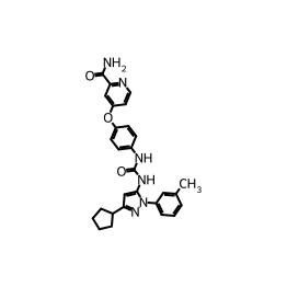 Cc1cccc(-n2nc(C3CCCC3)cc2NC(=O)Nc2ccc(Oc3ccnc(C(N)=O)c3)cc2)c1